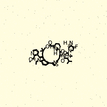 CCn1c(-c2cccnc2[C@H](C)OC)c2c3cc(ccc31)-c1csc(n1)C[C@H](NC(=O)C(C(C)C)N(C)C(=O)N1C[C@H](N)[C@@H](F)C1)C(=O)N1CCC[C@H](N1)C(=O)OCC(C)(C)C2